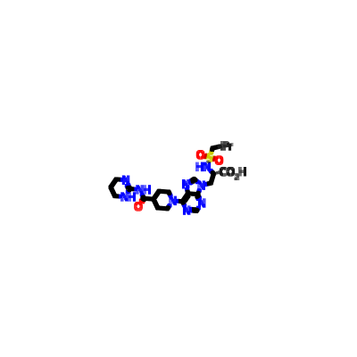 CC(C)CS(=O)(=O)N[C@@H](Cn1cnc2c(N3CCC(C(=O)NC4=NCCCN4)CC3)ncnc21)C(=O)O